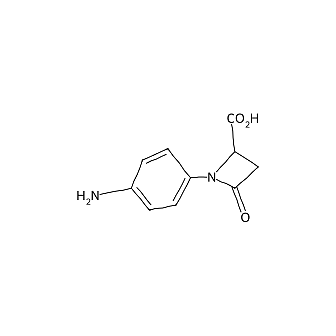 Nc1ccc(N2C(=O)CC2C(=O)O)cc1